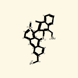 Cc1c2c(c(CC(C)(C)C)c3ccccc13)Sc1c3ccc(CC(C)C)cc3cc3cc[n+](C)c-2c13